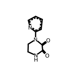 O=C1NCCN(c2ccccn2)C1=O